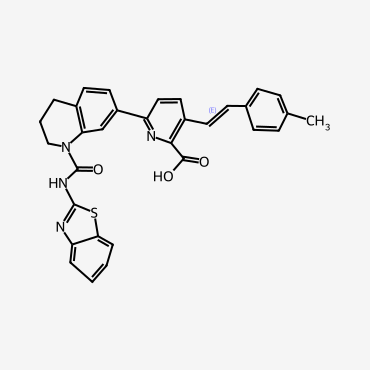 Cc1ccc(/C=C/c2ccc(-c3ccc4c(c3)N(C(=O)Nc3nc5ccccc5s3)CCC4)nc2C(=O)O)cc1